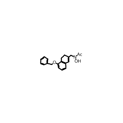 CC(=O)N(O)CC1=Cc2cccc(OCc3ccccc3)c2CC1